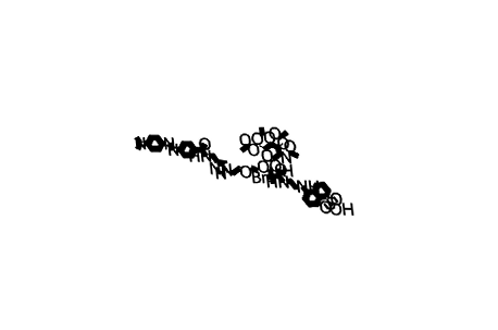 CC(=O)N[C@H]1[C@H](OC(OCCOCCn2cc(CNC(=O)c3ccc(/N=N/c4ccc(N(C)C)cc4)cc3)nn2)C(C)(Br)C(=O)NCCNc2cccc3c(S(=O)(=O)O)cccc23)O[C@H](COC(C)=O)[C@@H](OC(C)=O)[C@@H]1OC(C)=O